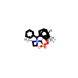 C[C@H]1CC[N+]1(C(c1ccccc1)c1ccccc1)C([C@@]12CC[C@H](CC1=O)C2(C)C)S(=O)(=O)[O-]